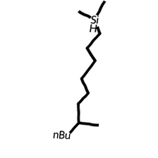 CCCCC(C)CCCCCC[SiH](C)C